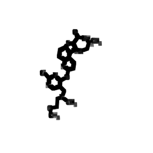 COCCN(C)Cc1cnc(Cl)nc1Oc1ccc2c(ccc3sc4c(c32)NC[C@@H](C)NC4=O)n1